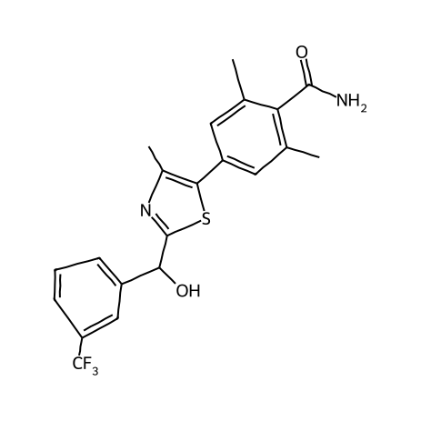 Cc1cc(-c2sc(C(O)c3cccc(C(F)(F)F)c3)nc2C)cc(C)c1C(N)=O